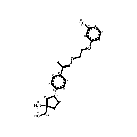 C/C(=N\OCCOc1cccc(C(F)(F)F)c1)c1ccc([C@@H]2CC[C@](N)(CO)C2)cc1